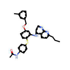 CCCc1ccc2c(Nc3cc(OCc4cccc(C)c4)ccc3Sc3ccc(NC(C)=O)cc3)ccnc2n1